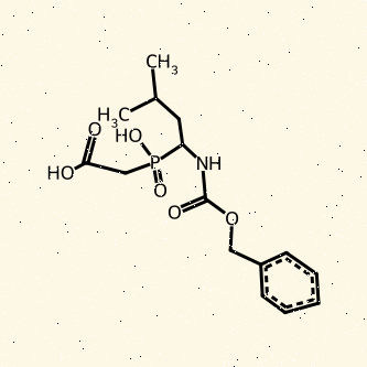 CC(C)CC(NC(=O)OCc1ccccc1)P(=O)(O)CC(=O)O